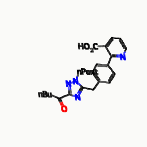 CCCCCn1nc(C(=O)CCCC)nc1Cc1ccc(-c2ncccc2C(=O)O)cc1